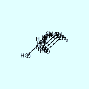 CC(C)CCC[C@@H](C)[C@H]1CC[C@H]2[C@@H]3CC=C4C[C@@H](O)CC[C@]4(C)[C@H]3CC[C@]12C.CCCCCCCCCCCCCCCCCC(=O)O.CCCCCCCCCCCCCCCCCC(=O)O.CCCCCCCCCCCCCCCCCC(=O)O.CCCCCCCCCCCCCCCCCC(=O)O